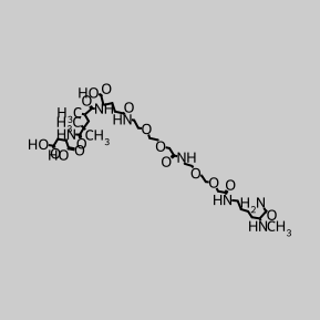 CNC(CCCCNC(=O)COCCOCCNC(=O)COCCOCCNC(=O)CCC(NC(=O)C(C)CC(C)(C)C(=O)NC(CC(=O)O)C(=O)O)C(=O)O)C(N)=O